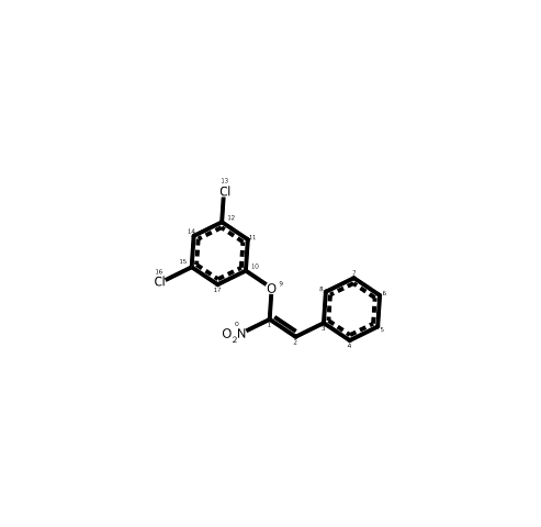 O=[N+]([O-])C(=Cc1ccccc1)Oc1cc(Cl)cc(Cl)c1